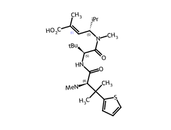 CN[C@@H](C(=O)N[C@H](C(=O)N(C)[C@H](/C=C(\C)C(=O)O)C(C)C)C(C)(C)C)C(C)(C)c1cccs1